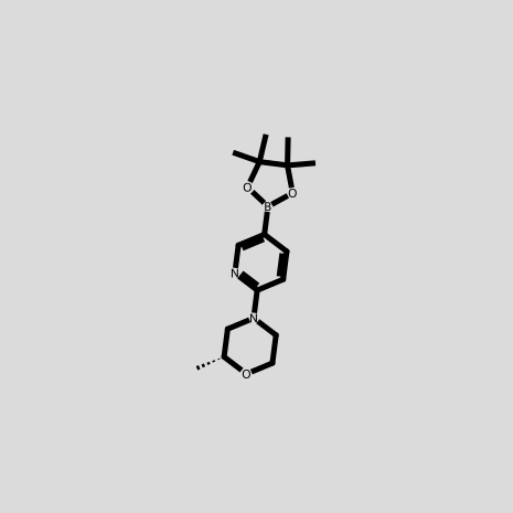 C[C@@H]1CN(c2ccc(B3OC(C)(C)C(C)(C)O3)cn2)CCO1